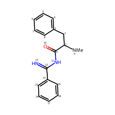 CNC(Cc1ccccc1)C(=O)NC(=N)c1ccccc1